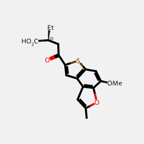 CC[C@@H](CC(=O)c1cc2c(cc(OC)c3oc(C)cc32)s1)C(=O)O